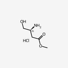 COC(=O)C[C@H](N)CO.Cl